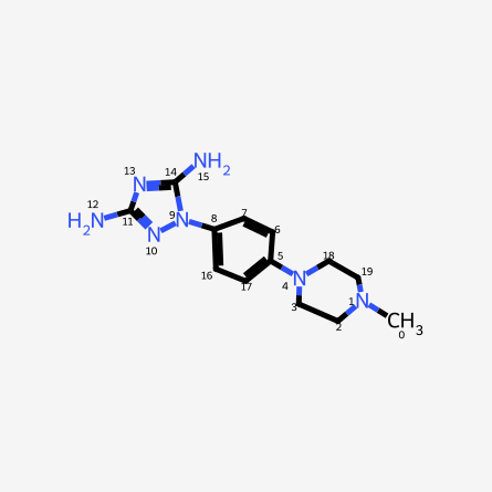 CN1CCN(c2ccc(-n3nc(N)nc3N)cc2)CC1